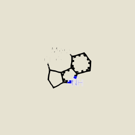 COc1cccc2[nH]c3c(c12)C(C=O)CC3